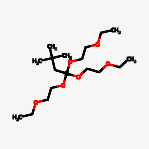 CCOCCO[Si](CC(C)(C)C)(OCCOCC)OCCOCC